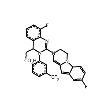 O=C(O)CC1c2cccc(F)c2N=C(N2C=C3C=C4C=C(F)C=CC4N3CC2)N1c1cccc(C(F)(F)F)c1